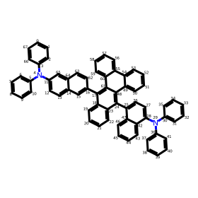 c1ccc(N(c2ccccc2)c2ccc3cc(-c4c5ccccc5c(-c5ccc(N(c6ccccc6)c6ccccc6)c6ccccc56)c5c6ccccc6c6ccccc6c45)ccc3c2)cc1